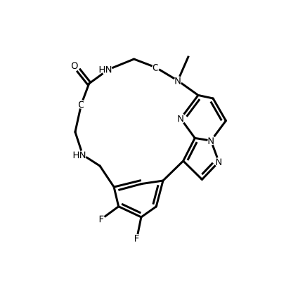 CN1CCNC(=O)CCNCc2cc(cc(F)c2F)-c2cnn3ccc1nc23